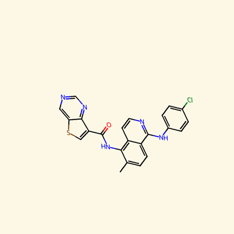 Cc1ccc2c(Nc3ccc(Cl)cc3)nccc2c1NC(=O)c1csc2cncnc12